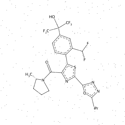 CC(C)c1nnc(-c2nc(C(=O)N3CCC[C@@H]3C)c(-c3ccc(C(O)(C(F)(F)F)C(F)(F)F)cc3C(F)F)s2)o1